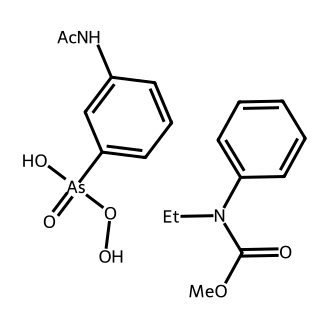 CC(=O)Nc1cccc([As](=O)(O)OO)c1.CCN(C(=O)OC)c1ccccc1